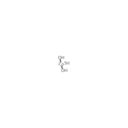 [OH][Co][OH].[Sn]